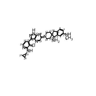 CNc1ccc2c(c1)[C@@H](N)C1(CCN(c3cnc4c(-c5ccnc(NC6CC6)c5Cl)n[nH]c4n3)CC1)C2